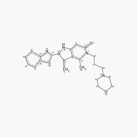 C=C1c2c(cc(=O)n(CCCN3CCOCC3)c2C)NN1c1nc2ccccc2s1